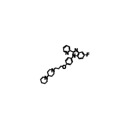 Fc1ccc2c(c1)nc(-c1ccccn1)n2-c1ccc(OCCCN2CCC(N3CCCCC3)CC2)cc1